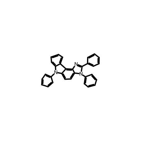 c1ccc(-c2nc3c4c5ccccc5n(-c5ccccc5)c4ccc3n2-c2ccccc2)cc1